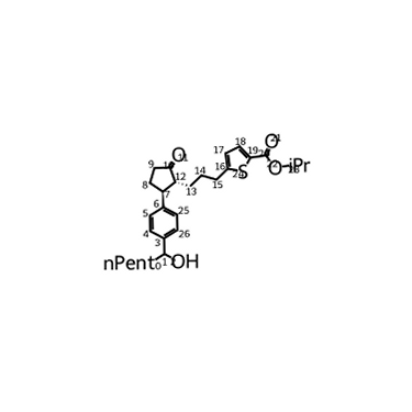 CCCCCC(O)c1ccc([C@H]2CCC(=O)[C@@H]2CCCc2ccc(C(=O)OC(C)C)s2)cc1